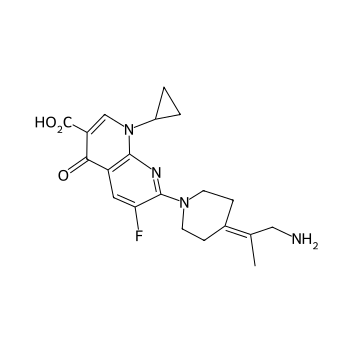 CC(CN)=C1CCN(c2nc3c(cc2F)c(=O)c(C(=O)O)cn3C2CC2)CC1